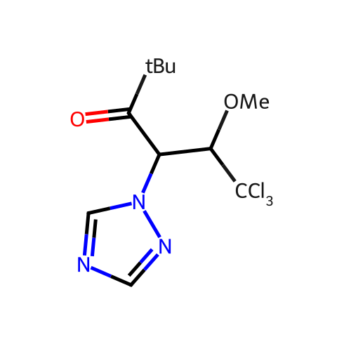 COC(C(C(=O)C(C)(C)C)n1cncn1)C(Cl)(Cl)Cl